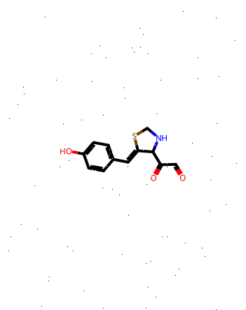 O=CC(=O)C1NCSC1=Cc1ccc(O)cc1